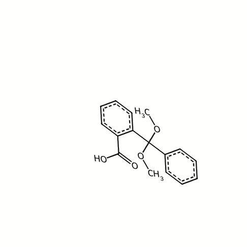 COC(OC)(c1ccccc1)c1ccccc1C(=O)O